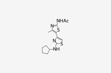 CC(=O)Nc1nc(C)c(-c2csc(NC3CCCC3)n2)s1